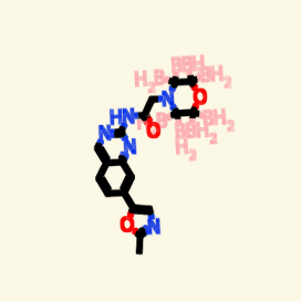 BC1(B)OC(B)(B)C(B)(B)N(CC(=O)Nc2ncc3ccc(-c4cnc(C)o4)cc3n2)C1(B)B